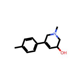 Cc1ccc(C2=CC(O)CN(C)C2)cc1